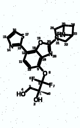 C[C@](O)(CO)C(F)(F)Oc1ccc(-c2nccs2)c2oc(N3CC4CC(C3)N4)nc12